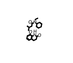 CCN(C(=O)CC(C)COc1cccc2c1NC(=O)CC2)C1CCCCC1